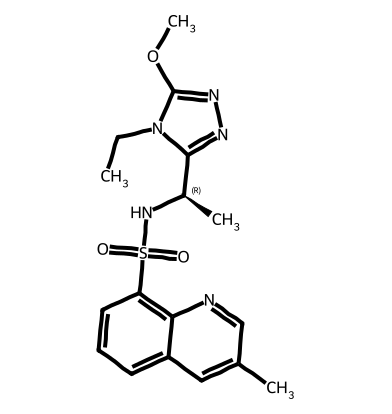 CCn1c(OC)nnc1[C@@H](C)NS(=O)(=O)c1cccc2cc(C)cnc12